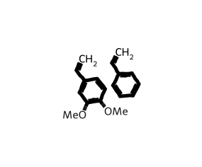 C=Cc1ccc(OC)c(OC)c1.C=Cc1ccccc1